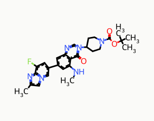 CNc1cc(-c2cc(F)c3nc(C)cn3c2)cc2ncn(C3CCN(C(=O)OC(C)(C)C)CC3)c(=O)c12